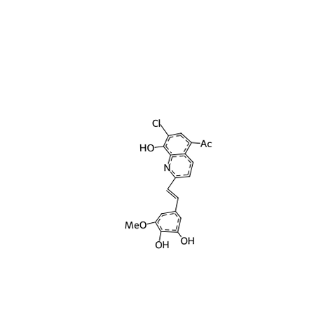 COc1cc(/C=C/c2ccc3c(C(C)=O)cc(Cl)c(O)c3n2)cc(O)c1O